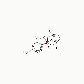 Cc1nonc1S(=O)(=O)N1[C@@H]2CC[C@H]1CC(N1CCC(C)CC1)C2